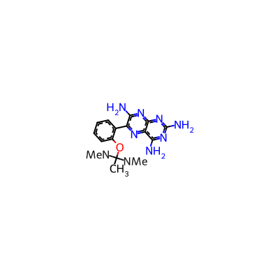 CNC(C)(NC)Oc1ccccc1-c1nc2c(N)nc(N)nc2nc1N